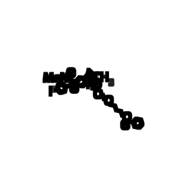 CNC(=O)c1c(-c2ccc(F)cc2)oc2cc(N(CCOCCOCCCCCOC(=O)c3ccccc3)S(C)(=O)=O)c(C3CC3)cc12